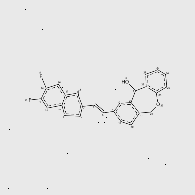 OC1c2cc(C=Cc3ccc4cc(F)c(F)cc4n3)ccc2COc2ccccc21